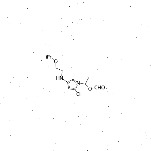 CC(C)OCCNc1cc(Cl)n(C(C)OC=O)c1